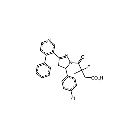 O=C(O)CC(F)(F)C(=O)N1N=C(c2cnccc2-c2ccccc2)CC1c1ccc(Cl)cc1